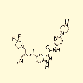 C=N/C=C(\C=C(/C)c1ccc2[nH]nc(C(=O)Nc3ccc(N4CCNCC4)nc3)c2c1)CN1CCC(F)(F)C1